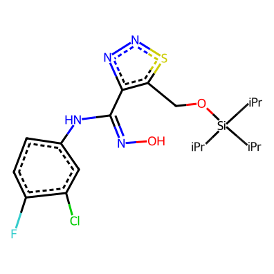 CC(C)[Si](OCc1snnc1C(=NO)Nc1ccc(F)c(Cl)c1)(C(C)C)C(C)C